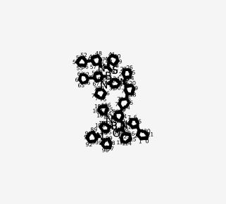 c1ccc(-c2cccc(N3c4cc(C5CCC(c6cccc(N(c7ccccc7)c7ccc8c(c7)B7c9sc%10ccccc%10c9N(c9cccc(-c%10ccccc%10)c9)c9cc(C%10CCCCC%10)cc(c97)N8c7ccccc7)c6)CC5)cc5c4B(c4cc(N(c6ccccc6)c6ccccc6)ccc4N5c4ccccc4)c4oc5ccccc5c43)c2)cc1